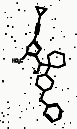 CC(=O)N(c1cc(C#CC2CC2)sc1C(=O)O)C1(C2CCC(Oc3ccccn3)CC2)CCCCC1